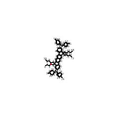 CCCCCC1(CCCCC)c2cc(N(c3ccc(C)cc3)c3ccc(C)cc3)ccc2-c2cc3cc4c(cc3cc21)-c1ccc(N(c2ccc(C)cc2)c2ccc(C)cc2)cc1C4(CCCCC)CCCCC